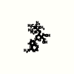 CC(C)(C)[Si](C)(C)OC1C[C@H](n2ccc3c(N)ncnc32)OC1(CO)CO